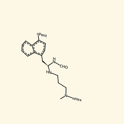 CCCCCCN(C)CCCN[C@@H](Cc1ccc(CCCCC)c2ccccc12)NC=O